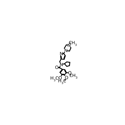 COc1cc(C(=O)N(Cc2ccc(N3CCN(C)CC3)nc2)C2CCCC2)cc(OC)c1OC